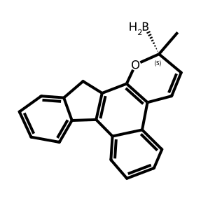 B[C@]1(C)C=Cc2c(c3c(c4ccccc24)-c2ccccc2C3)O1